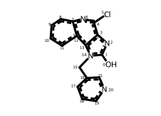 Oc1nc2c(Cl)nc3ccccc3c2n1Cc1cccnc1